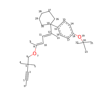 CC#CC(C)(C)CO/C(C)=C/C=C(\C)C1(c2ccc(OC(C)(C)C)cc2)CCCCC1